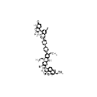 CCOc1cc(N2CCC(N3CCN(CCc4cc(F)cc(N(C=O)C5CCC(=O)NC5=O)c4N(C)C)CC3)CC2)c(CC)cc1Nc1ncc(Br)c(Nc2ccc3nc(CC)ccc3c2P(C)(C)=O)n1